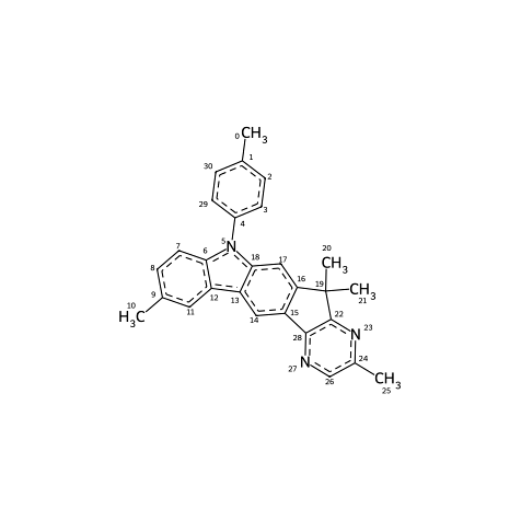 Cc1ccc(-n2c3ccc(C)cc3c3cc4c(cc32)C(C)(C)c2nc(C)cnc2-4)cc1